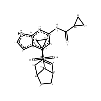 O=C(Nc1cc(C2=CC3CCC(C2)N3S(=O)(=O)C2CC2)c2cc[nH]c2n1)C1CC1